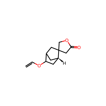 C=COC1C[C@@H]2CC1CC21COC(=O)C1